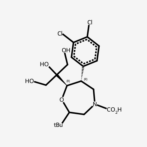 CC(C)(C)C1CN(C(=O)O)C[C@@H](c2ccc(Cl)c(Cl)c2)[C@H](C(O)(CO)CO)O1